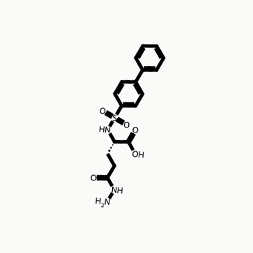 NNC(=O)CC[C@H](NS(=O)(=O)c1ccc(-c2ccccc2)cc1)C(=O)O